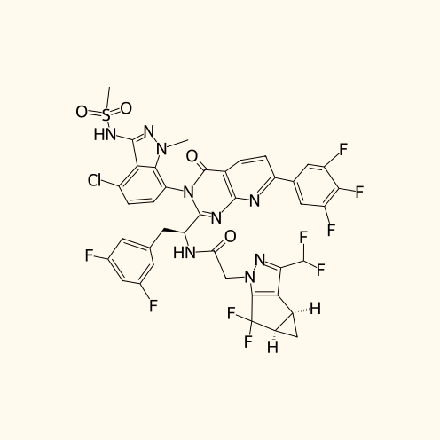 Cn1nc(NS(C)(=O)=O)c2c(Cl)ccc(-n3c([C@H](Cc4cc(F)cc(F)c4)NC(=O)Cn4nc(C(F)F)c5c4C(F)(F)[C@@H]4C[C@H]54)nc4nc(-c5cc(F)c(F)c(F)c5)ccc4c3=O)c21